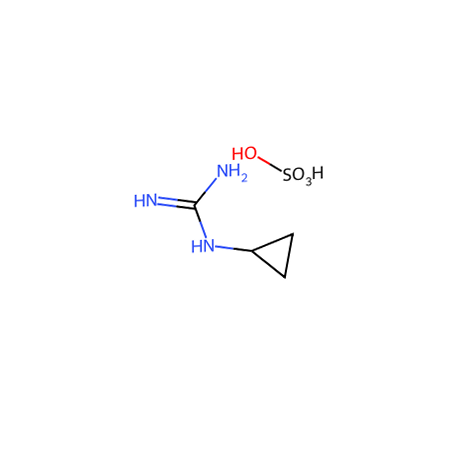 N=C(N)NC1CC1.O=S(=O)(O)O